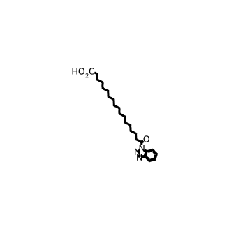 O=C(O)CCCCCCCCCCCCCCCCC(=O)n1nnc2ccccc21